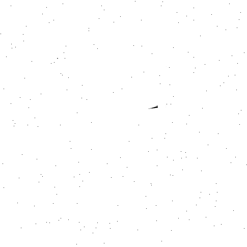 C=CC[C@]1(O)CC[C@H](c2ccccc2)CC1